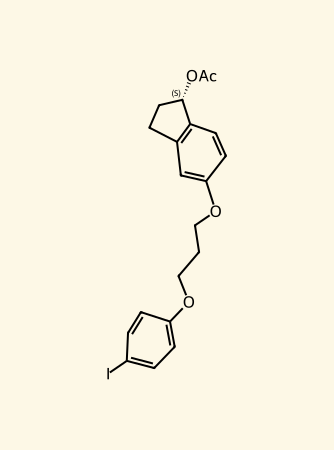 CC(=O)O[C@H]1CCc2cc(OCCCOc3ccc(I)cc3)ccc21